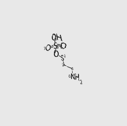 NCCSOS(=O)(=O)O